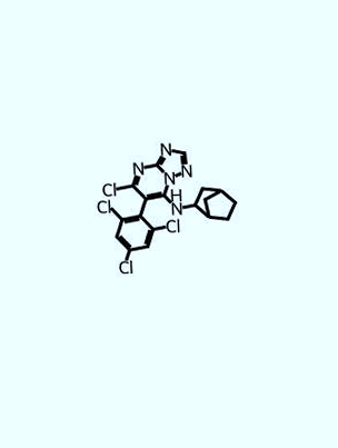 Clc1cc(Cl)c(-c2c(Cl)nc3ncnn3c2NC2CC3CCC2C3)c(Cl)c1